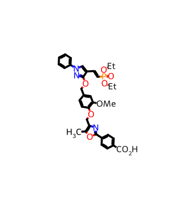 CCOP(=O)(/C=C/c1cn(-c2ccccc2)nc1OCc1ccc(OCc2nc(-c3ccc(C(=O)O)cc3)oc2C)c(OC)c1)OCC